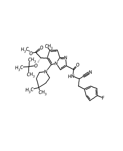 COC(=O)[C@@H](OC(C)(C)C)c1c(C)cc2nc(C(=O)NC(C#N)Cc3ccc(F)cc3)cn2c1N1CCC(C)(C)CC1